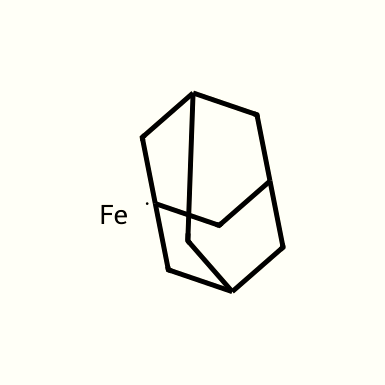 C1[C]2CC3CC1CC(C2)C3.[Fe]